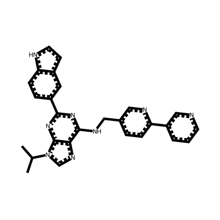 CC(C)n1cnc2c(NCc3ccc(-c4cccnc4)nc3)nc(-c3ccc4[nH]ccc4c3)nc21